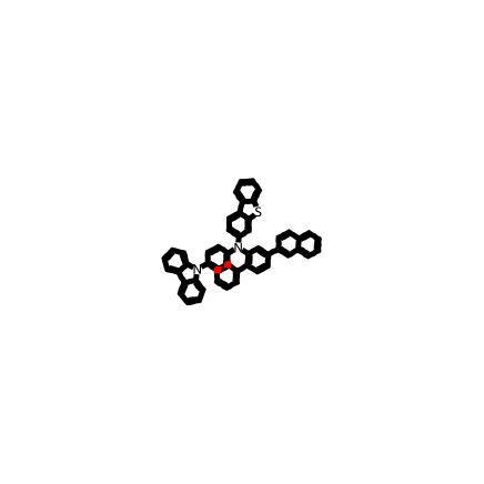 c1ccc(-c2ccc(-c3ccc4ccccc4c3)cc2N(c2ccc(-n3c4ccccc4c4ccccc43)cc2)c2ccc3c(c2)sc2ccccc23)cc1